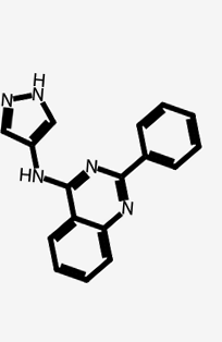 c1ccc(-c2nc(Nc3cn[nH]c3)c3ccccc3n2)cc1